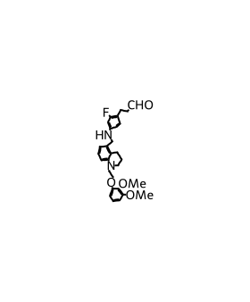 COc1cccc(OCCN2CCCc3c(CNc4ccc(CCC=O)c(F)c4)cccc32)c1OC